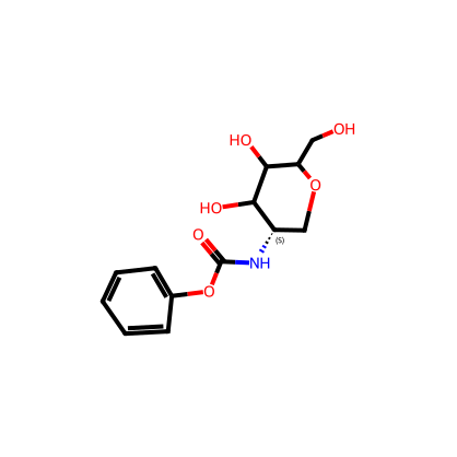 O=C(N[C@H]1COC(CO)C(O)C1O)Oc1ccccc1